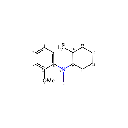 COc1ccccc1N(I)C1CCCCC1C